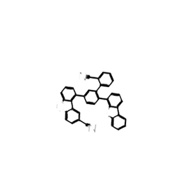 N#Cc1ccc2oc3cccc(-c4ccc(-c5cccc6c5sc5ccccc56)c(-c5ccccc5C#N)c4)c3c2c1